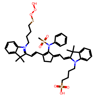 CC1(C)C(/C=C/C2=C(N(c3ccccc3)S(C)(=O)=O)C(=C/C=C3/N(CCCCS(=O)(=O)O)c4ccccc4C3(C)C)/CC2)=[N+](CCCCSOOO)c2ccccc21